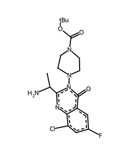 CC(N)c1nc2c(Cl)cc(F)cc2c(=O)n1N1CCN(C(=O)OC(C)(C)C)CC1